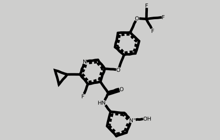 O=C(Nc1ccc[n+](O)c1)c1c(Oc2ccc(OC(F)(F)F)cc2)cnc(C2CC2)c1F